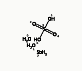 O.O.O=S(=O)(O)O.[SbH3]